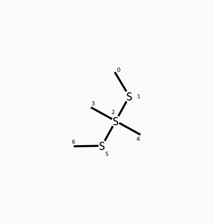 CSS(C)(C)SC